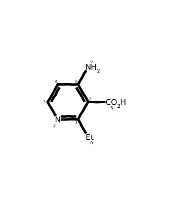 CCc1nccc(N)c1C(=O)O